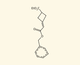 CCOC(=O)C1CC(=CC(=O)OCc2ccccc2)C1